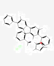 CC/[C](c1ccccc1)=[Zr+2](\[C]1=CC(C(C)(C)C)=CC1C)[c]1c2c(cc(C(C)(C)C)c1-c1ccccc1)-c1cc(C(C)(C)C)c(-c3ccccc3)cc1C2.[Cl-].[Cl-]